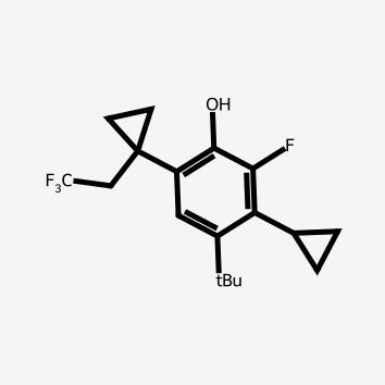 CC(C)(C)c1cc(C2(CC(F)(F)F)CC2)c(O)c(F)c1C1CC1